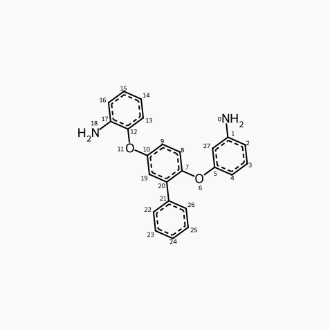 Nc1cccc(Oc2ccc(Oc3ccccc3N)cc2-c2ccccc2)c1